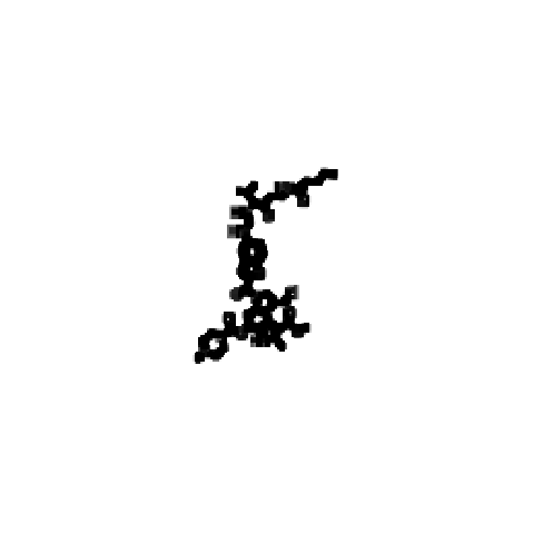 CCCCC(=O)NCCC(=O)[C@@H](NCNc1ccc2oc(C(=O)N3C[C@@H](CCl)c4c3cc(OC(=O)N3CCN(C)CC3)c3[nH]c(C)c(C(=O)OC)c43)cc2c1)C(C)C